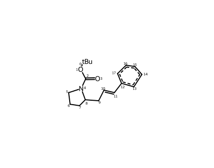 CC(C)(C)OC(=O)N1CCCC1C/C=C/c1ccccc1